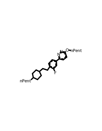 CCCCCOc1ccc(-c2ccc(CCC3CCC(CCCCC)CC3)c(F)c2)nn1